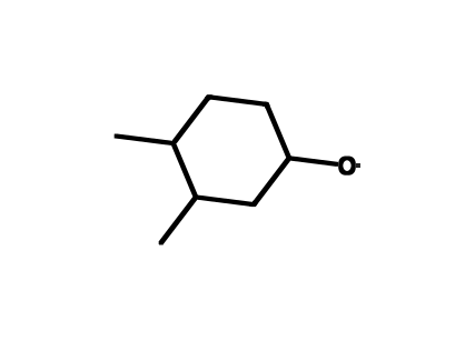 CC1CCC([O])CC1C